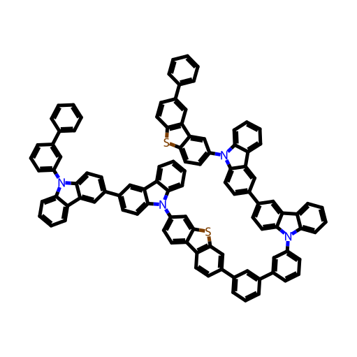 c1ccc(-c2cccc(-n3c4ccccc4c4cc(-c5ccc6c(c5)c5ccccc5n6-c5ccc6c(c5)sc5cc(-c7cccc(-c8cccc(-n9c%10ccccc%10c%10cc(-c%11ccc%12c(c%11)c%11ccccc%11n%12-c%11ccc%12sc%13ccc(-c%14ccccc%14)cc%13c%12c%11)ccc%109)c8)c7)ccc56)ccc43)c2)cc1